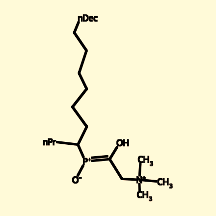 CCCCCCCCCCCCCCCCC(CCC)/[P+]([O-])=C(\O)C[N+](C)(C)C